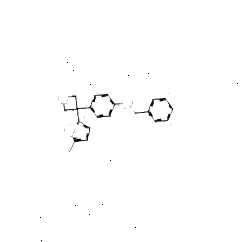 Cc1ccc(C2(c3ccc(OCc4ccccc4)cc3)COC2)o1